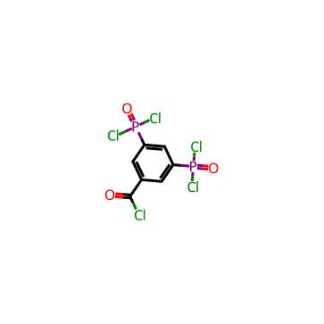 O=C(Cl)c1cc(P(=O)(Cl)Cl)cc(P(=O)(Cl)Cl)c1